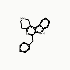 c1ccc(Cc2nc3c(c4c2[nH]c2ccccc24)CNCC3)cc1